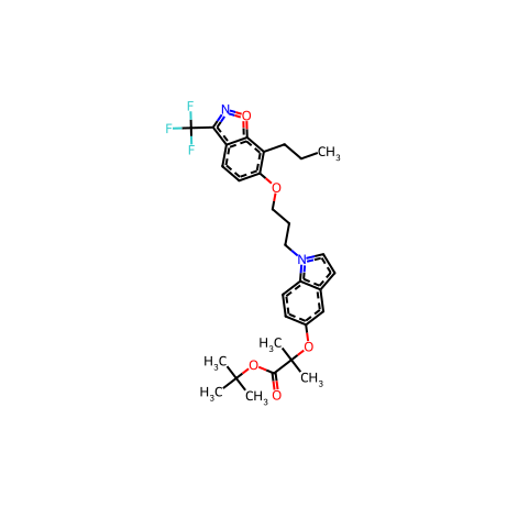 CCCc1c(OCCCn2ccc3cc(OC(C)(C)C(=O)OC(C)(C)C)ccc32)ccc2c(C(F)(F)F)noc12